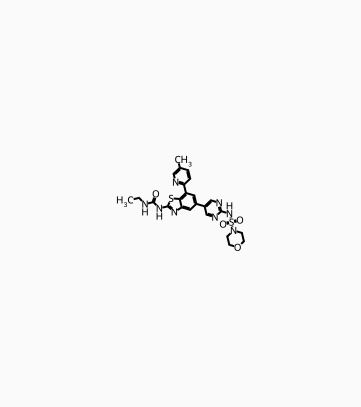 CCNC(=O)Nc1nc2cc(-c3cnc(NS(=O)(=O)N4CCOCC4)nc3)cc(-c3ccc(C)cn3)c2s1